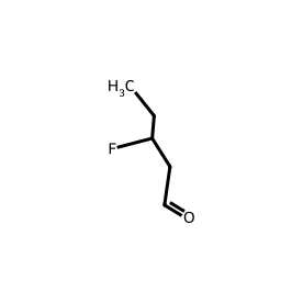 CCC(F)CC=O